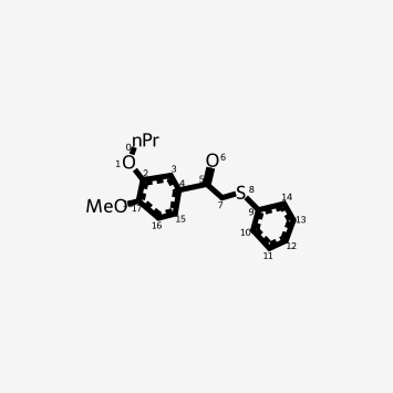 CCCOc1cc(C(=O)CSc2ccccc2)ccc1OC